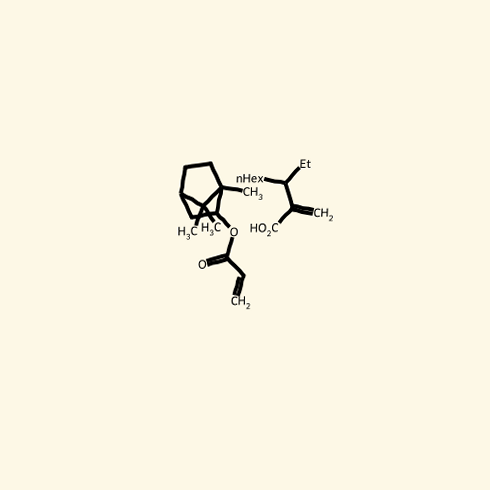 C=C(C(=O)O)C(CC)CCCCCC.C=CC(=O)OC1CC2CCC1(C)C2(C)C